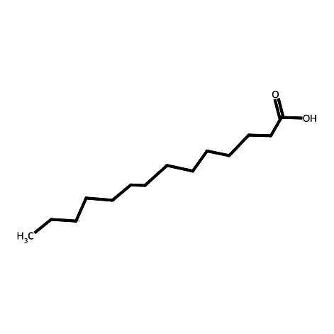 CC[CH]CCCCCCCCCCC(=O)O